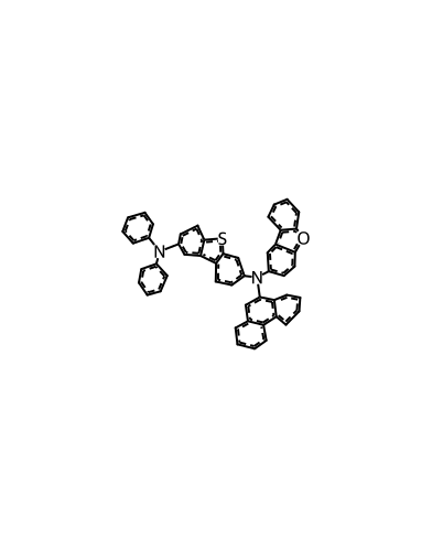 c1ccc(N(c2ccccc2)c2ccc3sc4cc(N(c5ccc6oc7ccccc7c6c5)c5cc6ccccc6c6ccccc56)ccc4c3c2)cc1